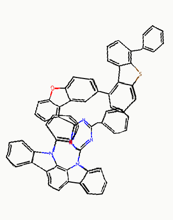 c1ccc(-c2nc(-c3cccc4oc5ccc(-c6cccc7sc8c(-c9ccccc9)cccc8c67)cc5c34)nc(-n3c4ccccc4c4ccc5c6ccccc6n(-c6ccccc6)c5c43)n2)cc1